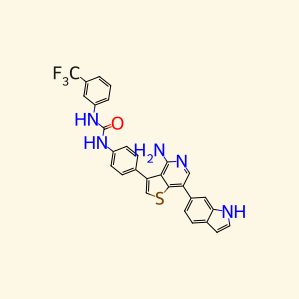 Nc1ncc(-c2ccc3cc[nH]c3c2)c2scc(-c3ccc(NC(=O)Nc4cccc(C(F)(F)F)c4)cc3)c12